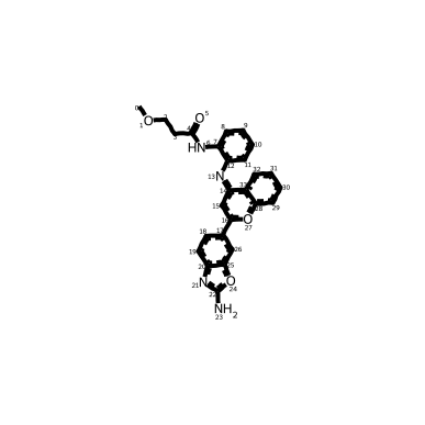 COCCC(=O)Nc1ccccc1N=c1cc(-c2ccc3nc(N)oc3c2)oc2ccccc12